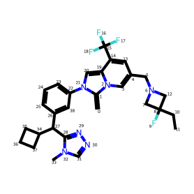 C=C1N2C=C(CN3CC(F)(CC)C3)C=C(C(F)(F)F)C2=CN1c1cccc(C(c2nncn2C)C2CCC2)c1